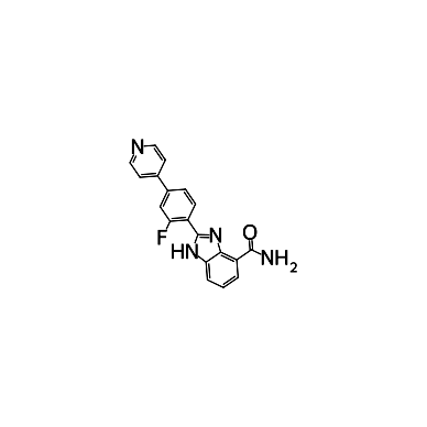 NC(=O)c1cccc2[nH]c(-c3ccc(-c4ccncc4)cc3F)nc12